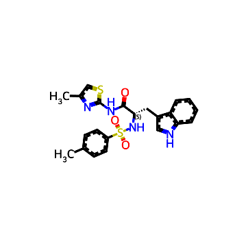 Cc1ccc(S(=O)(=O)N[C@@H](Cc2c[nH]c3ccccc23)C(=O)Nc2nc(C)cs2)cc1